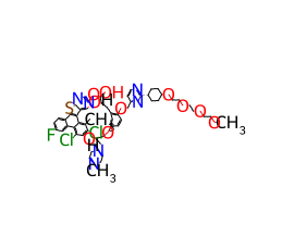 COCCOCCOCCO[C@H]1CC[C@H](c2nccc(COc3ccc4cc3C[C@H](C(=O)O)Oc3ncnc5sc6c7ccc(F)cc7c7c(Cl)c(c(Cl)c(C)c7c6c35)O[C@H](CN3CCN(C)CC3)CO4)n2)CC1